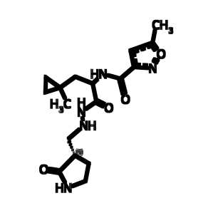 Cc1cc(C(=O)NC(CC2(C)CC2)C(=O)NNC[C@@H]2CCNC2=O)no1